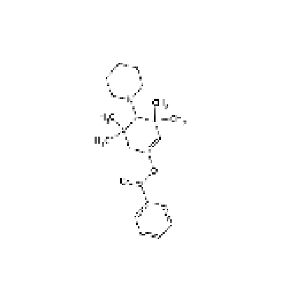 CC1(C)C=C(OC(=O)c2ccccc2)CC(C)(C)C1N1CCCCC1